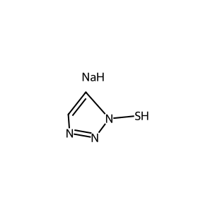 Sn1ccnn1.[NaH]